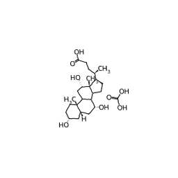 C[C@H](CCC(=O)O)[C@H]1CCC2C3C(C[C@H](O)[C@@]21C)[C@@]1(C)CC[C@@H](O)C[C@H]1C[C@H]3O.O=C(O)O